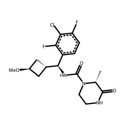 CO[C@H]1C[C@H]([C@H](NC(=O)N2CCNC(=O)[C@H]2C)c2ccc(F)c(Cl)c2F)C1